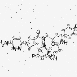 Nc1ccc(N2CC(C(=O)NCCC[C@H](NC(=O)CC(F)(F)F)C3C=CC(Cl)=CC3)[C@H](C3C=CC(O)=CC3F)C2)nn1